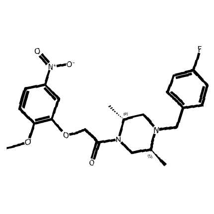 COc1ccc([N+](=O)[O-])cc1OCC(=O)N1C[C@H](C)N(Cc2ccc(F)cc2)C[C@H]1C